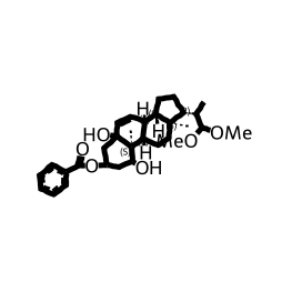 COC(OC)C(C)[C@H]1CC[C@H]2[C@@H]3C=CC4(O)CC(OC(=O)c5ccccc5)CC(O)[C@]4(C)[C@H]3CC[C@]12C